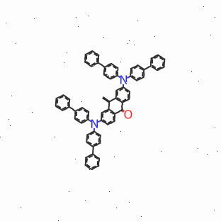 C=C1c2cc(N(c3ccc(-c4ccccc4)cc3)c3ccc(-c4ccccc4)cc3)ccc2C(=O)c2ccc(N(c3ccc(-c4ccccc4)cc3)c3ccc(-c4ccccc4)cc3)cc21